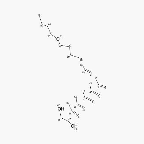 C=CC.C=CC.C=CC.C=CC.C=CC.C=CC.CCCCOCCCC.OCCO